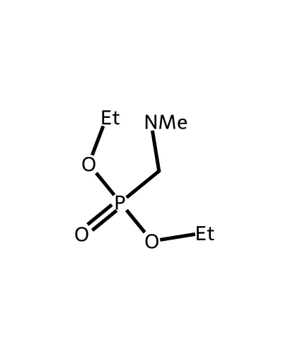 CCOP(=O)(CNC)OCC